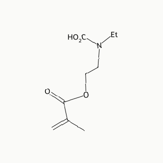 C=C(C)C(=O)OCCN(CC)C(=O)O